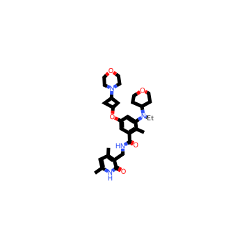 CCN(c1cc(OC2CC(N3CCOCC3)C2)cc(C(=O)NCc2c(C)cc(C)[nH]c2=O)c1C)C1CCOCC1